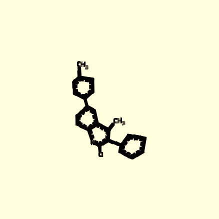 Cc1ccc(-c2ccc3nc(Cl)c(-c4ccccc4)c(C)c3c2)cc1